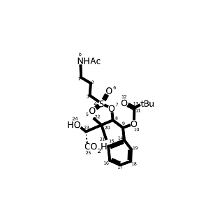 CC(=O)NCCCS(=O)(=O)OC(C(OC(=O)C(C)(C)C)c1ccccc1)C(C)(C)[C@@H](O)C(=O)O